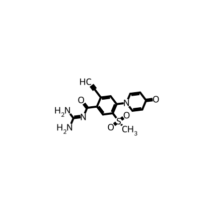 C#Cc1cc(-n2ccc(=O)cc2)c(S(C)(=O)=O)cc1C(=O)N=C(N)N